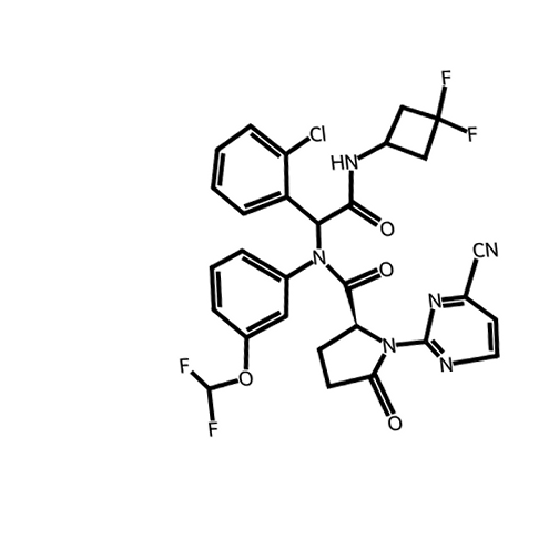 N#Cc1ccnc(N2C(=O)CC[C@H]2C(=O)N(c2cccc(OC(F)F)c2)C(C(=O)NC2CC(F)(F)C2)c2ccccc2Cl)n1